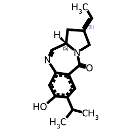 C/C=C1\C[C@H]2C=Nc3cc(O)c(C(C)C)cc3C(=O)N2C1